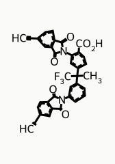 C#Cc1ccc2c(c1)C(=O)N(c1cccc(C(C)(c3ccc(C(=O)O)c(N4C(=O)c5ccc(C#C)cc5C4=O)c3)C(F)(F)F)c1)C2=O